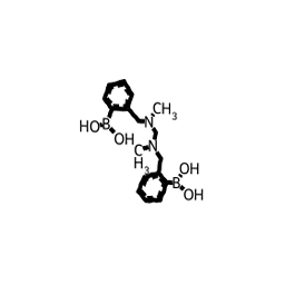 CN(Cc1ccccc1B(O)O)CN(C)Cc1ccccc1B(O)O